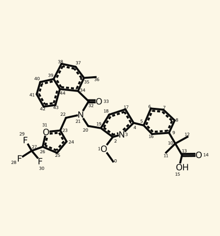 COc1nc(-c2cccc(C(C)(C)C(=O)O)c2)ccc1CN(Cc1ccc(C(F)(F)F)o1)C(=O)c1c(C)ccc2ccccc12